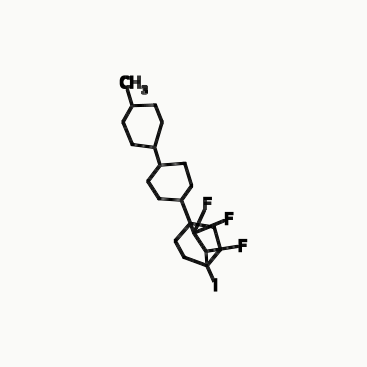 CC1CCC(C2CCC(C34CCC(I)(CC3)C(F)C4(F)F)CC2)CC1